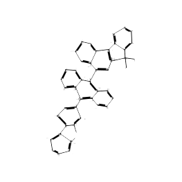 CC1(C)c2ccccc2-c2c1cc(-c1c3ccccc3c(-c3ccc4c(c3)sc3ccccc34)c3ccccc13)c1ccccc21